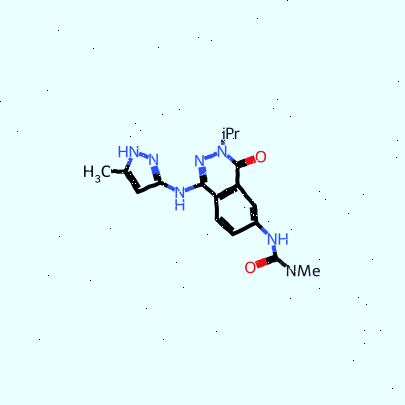 CNC(=O)Nc1ccc2c(Nc3cc(C)[nH]n3)nn(C(C)C)c(=O)c2c1